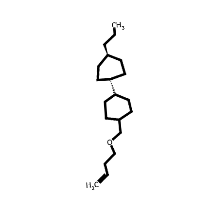 C=CCCOCC1CCC([C@H]2CC[C@H](CCC)CC2)CC1